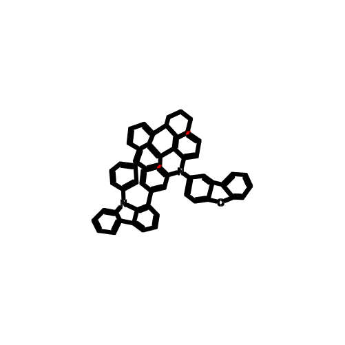 c1ccc(-n2c3ccccc3c3cccc(-c4cccc(N(c5ccc6oc7ccccc7c6c5)c5ccccc5-c5cccc6cccc(C7CCCCC7)c56)c4)c32)cc1